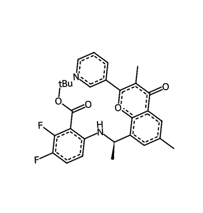 Cc1cc([C@@H](C)Nc2ccc(F)c(F)c2C(=O)OC(C)(C)C)c2oc(-c3cccnc3)c(C)c(=O)c2c1